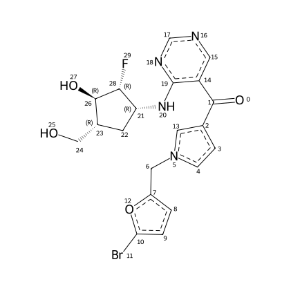 O=C(c1ccn(Cc2ccc(Br)o2)c1)c1cncnc1N[C@@H]1C[C@H](CO)[C@@H](O)[C@@H]1F